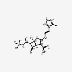 Cc1nnnn1C=CSC1=C(C(=O)O)N2C(=O)[C@@H]([C@H](C)O[Si](C)(C)C)[C@H]2C1